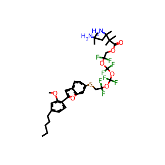 CCCCCc1ccc(-c2cc3ccc(SCC(F)(F)OC(F)(F)OC(F)(F)OC(F)(F)COC(=O)C(C)(C)C(C)(N)CC(C)(C)N)cc3o2)c(OC)c1